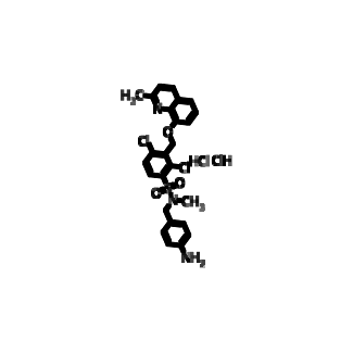 Cc1ccc2cccc(OCc3c(Cl)ccc(S(=O)(=O)N(C)Cc4ccc(N)cc4)c3Cl)c2n1.Cl.Cl